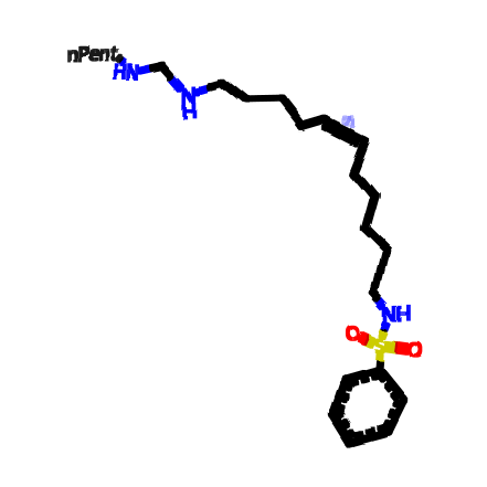 CCCCCNCNCCCC/C=C\CCCCCNS(=O)(=O)c1ccccc1